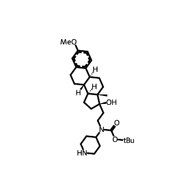 COc1ccc2c(c1)CC[C@@H]1[C@@H]2CC[C@@]2(C)[C@H]1CC[C@@]2(O)CCN(C(=O)OC(C)(C)C)C1CCNCC1